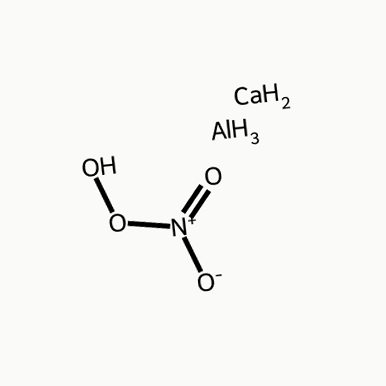 O=[N+]([O-])OO.[AlH3].[CaH2]